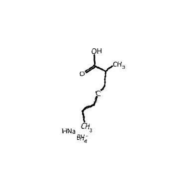 CCCCCC(C)C(=O)O.[BH4-].[NaH]